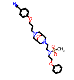 CS(=O)(=O)N(CCOc1ccccc1)CCN1CC2CN(CCCOc3ccc(C#N)cc3)CC(C1)O2